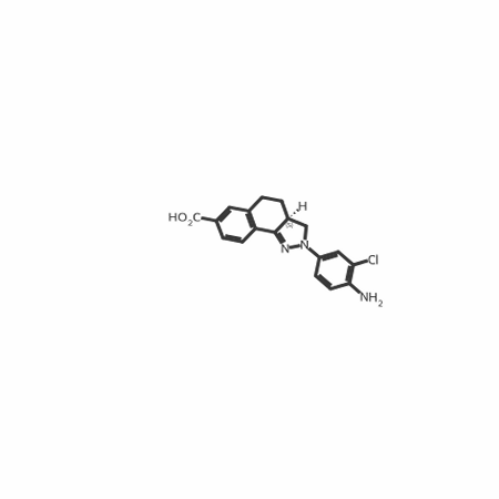 Nc1ccc(N2C[C@@H]3CCc4cc(C(=O)O)ccc4C3=N2)cc1Cl